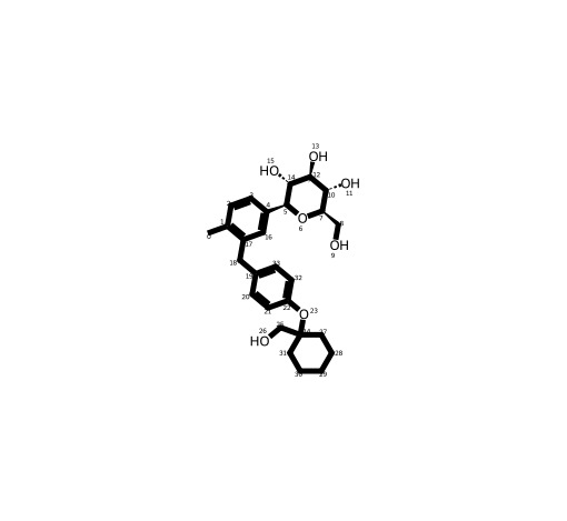 Cc1ccc([C@@H]2O[C@H](CO)[C@@H](O)[C@H](O)[C@H]2O)cc1Cc1ccc(OC2(CO)CCCCC2)cc1